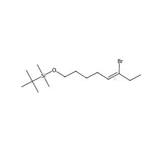 CC/C(Br)=C/CCCCO[Si](C)(C)C(C)(C)C